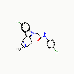 CN1C2CCC1c1c(n(CC(=O)Nc3ccc(Cl)cc3)c3ccc(Cl)cc13)C2